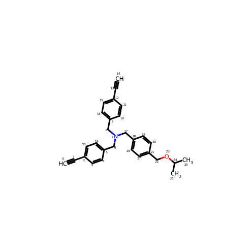 C#Cc1ccc(CN(Cc2ccc(C#C)cc2)Cc2ccc(COC(C)C)cc2)cc1